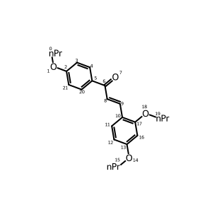 CCCOc1ccc(C(=O)C=Cc2ccc(OCCC)cc2OCCC)cc1